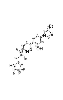 CCc1cn(-c2ccc(-c3ccc(N(C)[C@H](I)CC4CC(F)(F)C(C)N4)nn3)c(O)c2)cn1